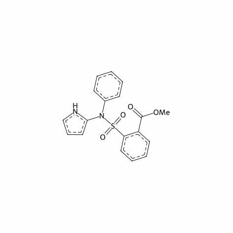 COC(=O)c1ccccc1S(=O)(=O)N(c1ccccc1)c1ccc[nH]1